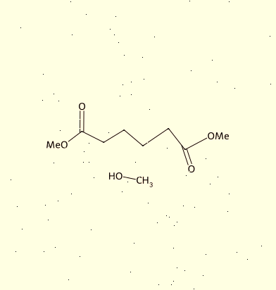 CO.COC(=O)CCCCC(=O)OC